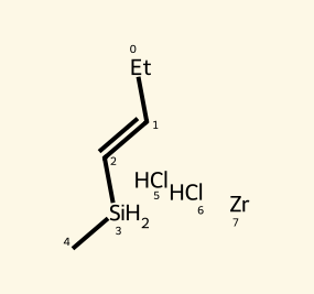 CC/C=C/[SiH2]C.Cl.Cl.[Zr]